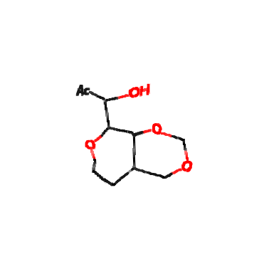 CC(=O)C(O)C1OCCC2COCOC21